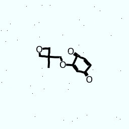 CC1(COC2=CC(=O)C=CC2=O)COC1